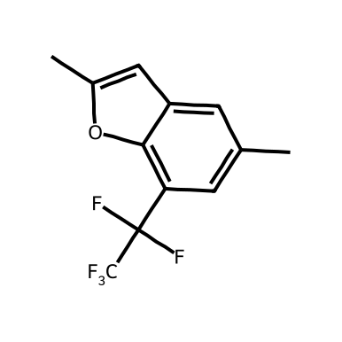 Cc1cc(C(F)(F)C(F)(F)F)c2oc(C)cc2c1